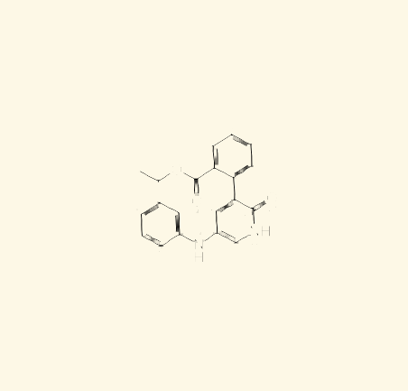 CCOC(=O)c1ccccc1-c1cc(Nc2ccccc2)c[nH]c1=O